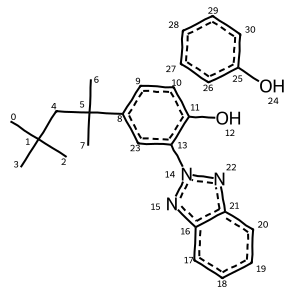 CC(C)(C)CC(C)(C)c1ccc(O)c(-n2nc3ccccc3n2)c1.Oc1ccccc1